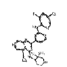 CC1(C)CNCCC1Nc1nc(-c2ccnc(Nc3ncc(Cl)cc3F)c2)nc2cncc(C3CC3)c12